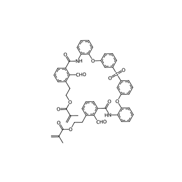 C=C(C)C(=O)OCCc1cccc(C(=O)Nc2ccccc2Oc2cccc(S(=O)(=O)c3cccc(Oc4ccccc4NC(=O)c4cccc(CCOC(=O)C(=C)C)c4C=O)c3)c2)c1C=O